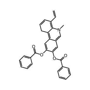 C=CC1=C2C(=c3cc(OC(=O)c4ccccc4)c(OC(=O)c4ccccc4)cc3=CN2C)CC=C1